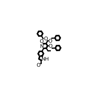 CCc1c(-c2ccc3cc(C=O)[nH]c3c2)nc(OCc2ccccc2)c(C(=O)OCc2ccccc2)c1OCc1ccccc1